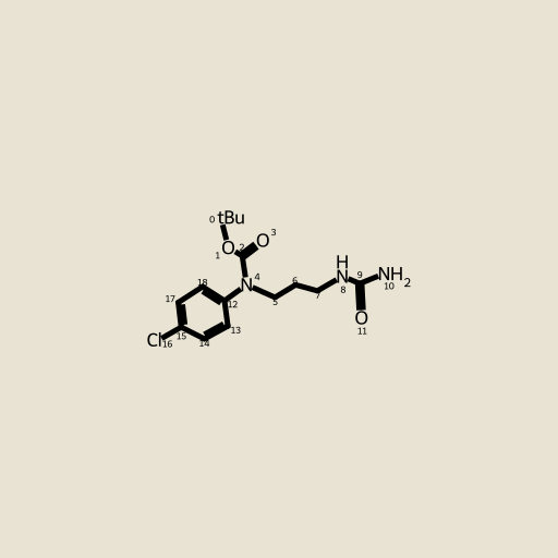 CC(C)(C)OC(=O)N(CCCNC(N)=O)c1ccc(Cl)cc1